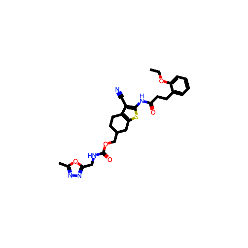 CCOc1ccccc1CCC(=O)Nc1sc2c(c1C#N)CCC(COC(=O)NCc1nnc(C)o1)C2